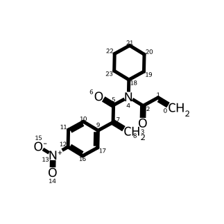 C=CC(=O)N(C(=O)C(=C)c1ccc([N+](=O)[O-])cc1)C1CCCCC1